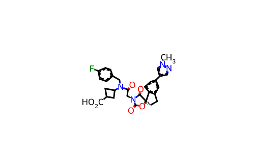 Cn1cc(-c2ccc3c(c2)CC[C@@]32OC(=O)N(CC(=O)N(Cc3ccc(F)cc3)C3CC(C(=O)O)C3)C2=O)cn1